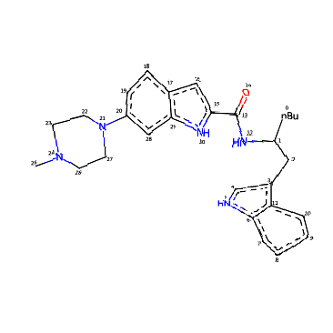 CCCCC(Cc1c[nH]c2ccccc12)NC(=O)c1cc2ccc(N3CCN(C)CC3)cc2[nH]1